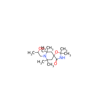 CC(O)CN1C(C)(C)CC2(CC1(C)C)OC(C)(C)NC2=O